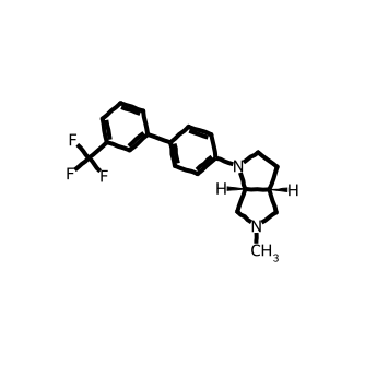 CN1C[C@H]2CCN(c3ccc(-c4cccc(C(F)(F)F)c4)cc3)[C@H]2C1